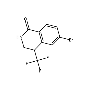 O=C1NCC(C(F)(F)F)c2cc(Br)ccc21